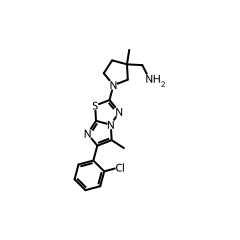 Cc1c(-c2ccccc2Cl)nc2sc(N3CCC(C)(CN)C3)nn12